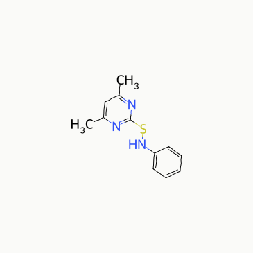 Cc1cc(C)nc(SNc2ccccc2)n1